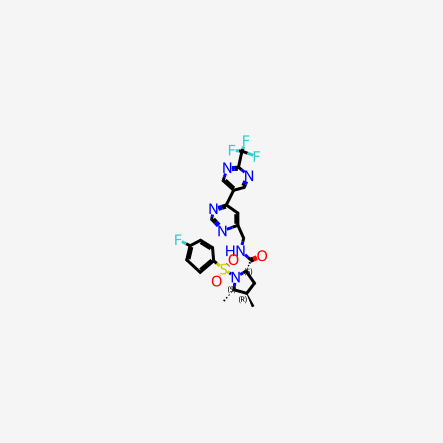 C[C@@H]1C[C@@H](C(=O)NCc2cc(-c3cnc(C(F)(F)F)nc3)ncn2)N(S(=O)(=O)c2ccc(F)cc2)[C@H]1C